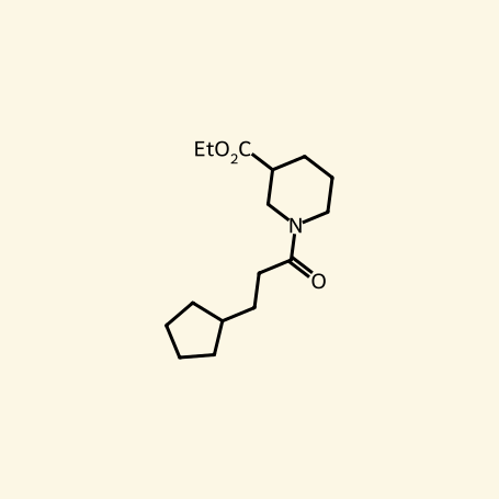 CCOC(=O)C1CCCN(C(=O)CCC2CCCC2)C1